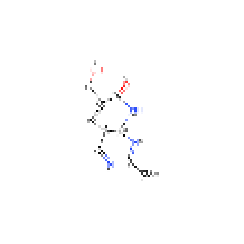 CSc1ncc2cc(CO)c(=O)[nH]c2n1